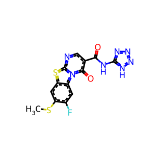 CSc1cc2sc3ncc(C(=O)Nc4nnn[nH]4)c(=O)n3c2cc1F